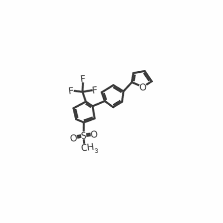 CS(=O)(=O)c1ccc(C(F)(F)F)c(-c2ccc(-c3ccco3)cc2)c1